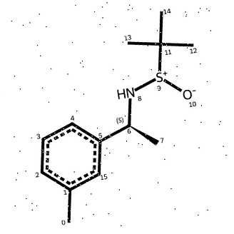 Cc1cccc([C@H](C)N[S+]([O-])C(C)(C)C)c1